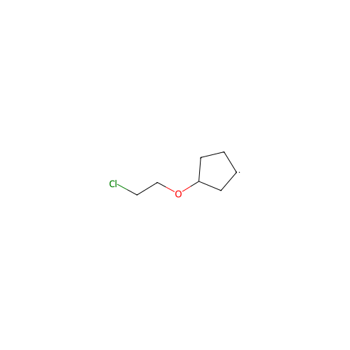 ClCCOC1C[CH]CC1